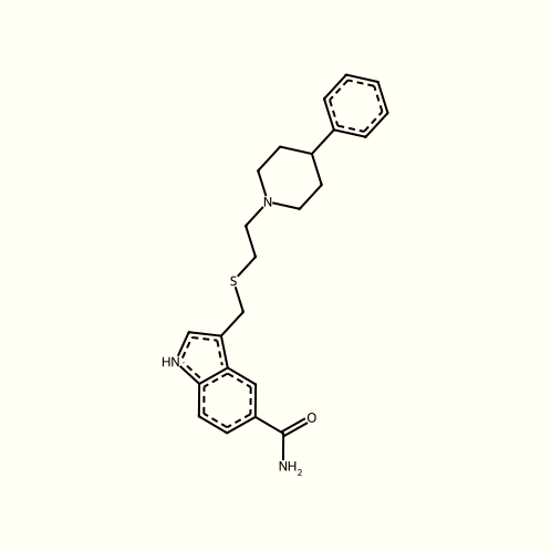 NC(=O)c1ccc2[nH]cc(CSCCN3CCC(c4ccccc4)CC3)c2c1